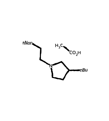 CC(=O)O.CCCCCCCCCCCN1CCC(CCCC)C1